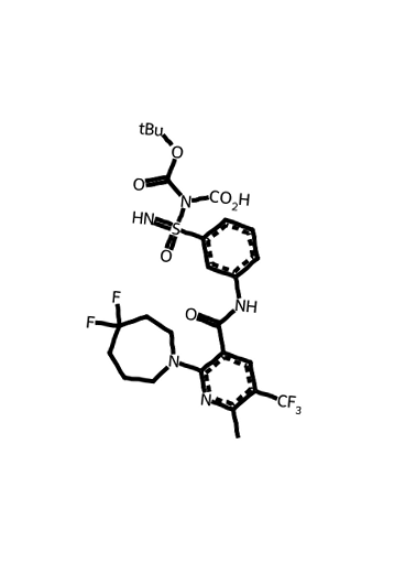 Cc1nc(N2CCCC(F)(F)CC2)c(C(=O)Nc2cccc(S(=N)(=O)N(C(=O)O)C(=O)OC(C)(C)C)c2)cc1C(F)(F)F